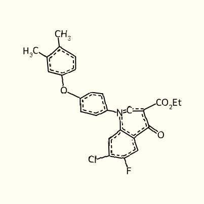 CCOC(=O)c1cn(-c2ccc(Oc3ccc(C)c(C)c3)cc2)c2cc(Cl)c(F)cc2c1=O